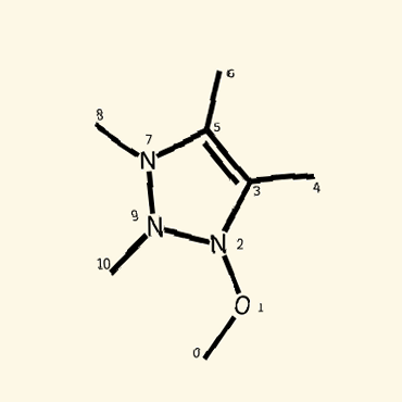 CON1C(C)=C(C)N(C)N1C